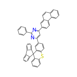 c1ccc(-c2nc(-c3ccc4c(c3)C3(c5ccccc5S4)c4ccccc4-c4ccccc43)cc(-c3ccc4c(ccc5ccccc54)c3)n2)cc1